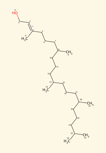 C/C(=C\CO)CCCC(C)CCCC(C)CCCC(C)CCCC(C)C